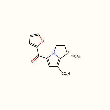 CC(=O)O[C@H]1CCn2c(C(=O)c3ccco3)cc(C(=O)O)c21